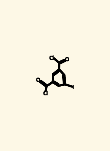 O=C(Cl)c1cc(I)cc(C(=O)Cl)c1